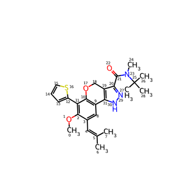 COc1c(C=C(C)C)cc2c(c1-c1cccs1)OCc1c(C(=O)N(C)C(C)(C)C)n[nH]c1-2